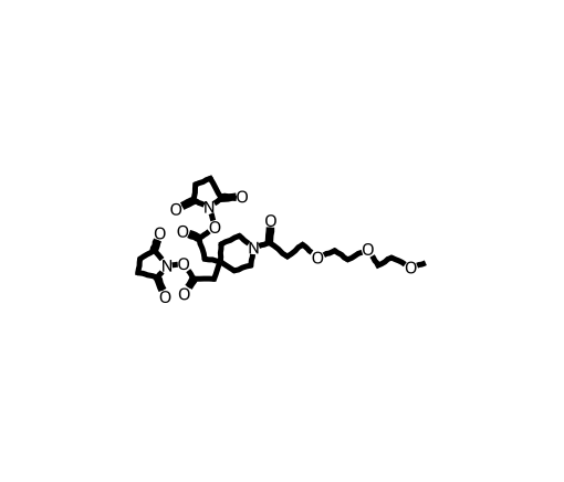 COCCOCCOCCC(=O)N1CCC(CC(=O)ON2C(=O)CCC2=O)(CC(=O)ON2C(=O)CCC2=O)CC1